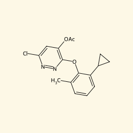 CC(=O)Oc1cc(Cl)nnc1Oc1c(C)cccc1C1CC1